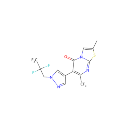 Cc1cn2c(=O)c(-c3cnn(CC(F)(F)C(F)(F)F)c3)c(C(F)(F)F)nc2s1